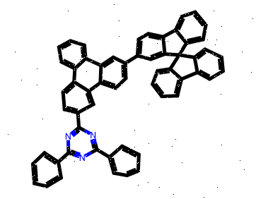 c1ccc(-c2nc(-c3ccccc3)nc(-c3ccc4c5ccccc5c5cc(-c6ccc7c(c6)C6(c8ccccc8-c8ccccc86)c6ccccc6-7)ccc5c4c3)n2)cc1